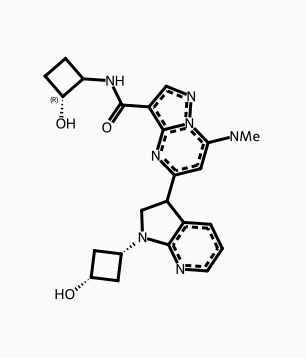 CNc1cc(C2CN([C@H]3C[C@@H](O)C3)c3ncccc32)nc2c(C(=O)NC3CC[C@H]3O)cnn12